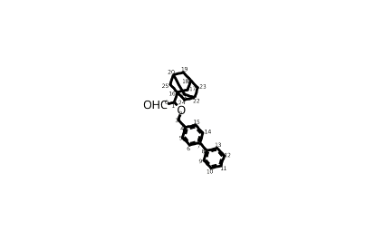 O=CC(OCc1ccc(-c2ccccc2)cc1)C12CC3CC(CC(C3)C1)C2